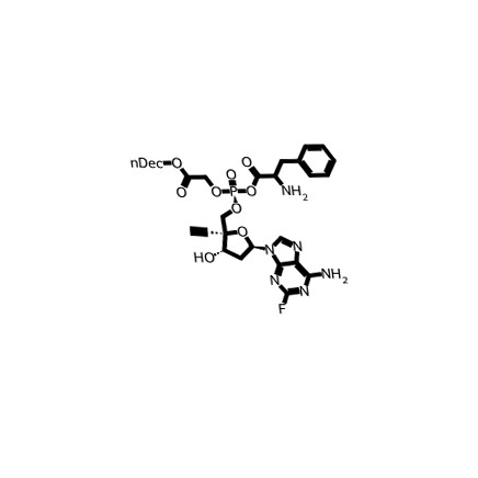 C#C[C@]1(CO[P@](=O)(OCC(=O)OCCCCCCCCCC)OC(=O)C(N)Cc2ccccc2)O[C@@H](n2cnc3c(N)nc(F)nc32)C[C@@H]1O